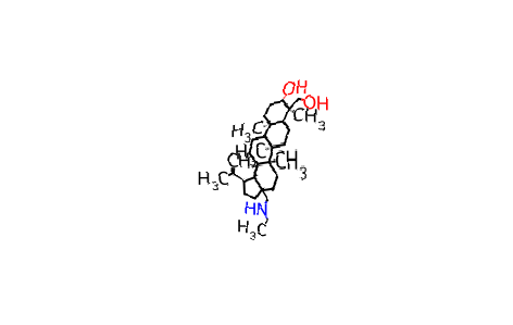 C=C(C)[C@@H]1CCC2(CNCC)CC[C@]3(C)C(CCC4[C@@]5(C)CC[C@H](O)[C@@](C)(CO)C5CC[C@]43C)C12